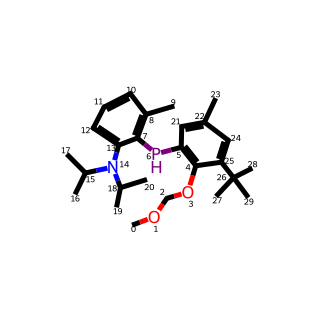 COCOc1c(Pc2c(C)cccc2N(C(C)C)C(C)C)cc(C)cc1C(C)(C)C